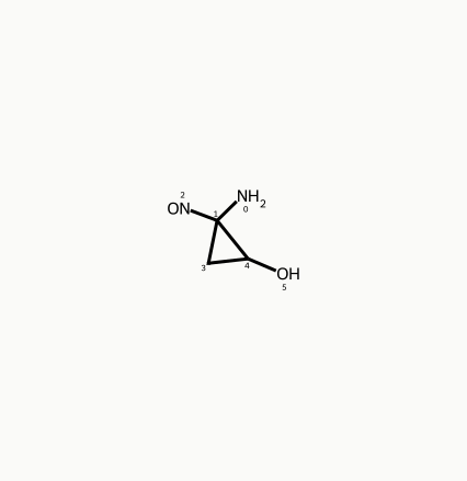 NC1(N=O)CC1O